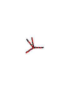 CCCCCCCCCCCC[N+](CCCCCCCCCCCC)(CCCCCCCCCCCC)CCCCCCCCCCCC